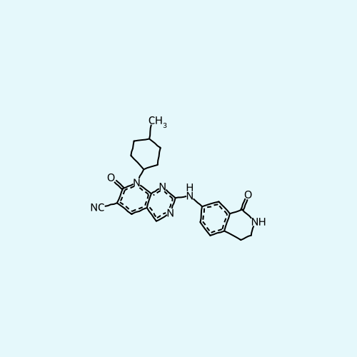 CC1CCC(n2c(=O)c(C#N)cc3cnc(Nc4ccc5c(c4)C(=O)NCC5)nc32)CC1